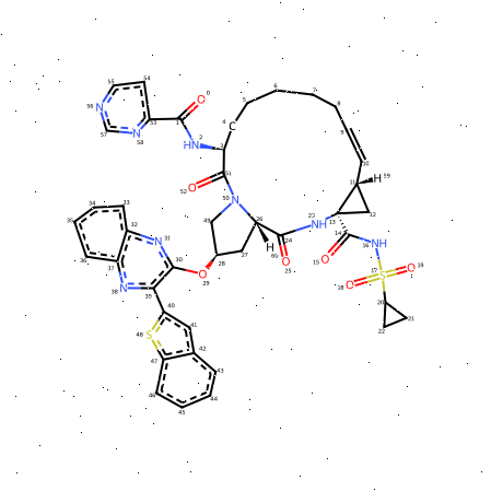 O=C(N[C@H]1CCCCC/C=C\[C@@H]2C[C@@]2(C(=O)NS(=O)(=O)C2CC2)NC(=O)[C@@H]2C[C@@H](Oc3nc4ccccc4nc3-c3cc4ccccc4s3)CN2C1=O)c1ccncn1